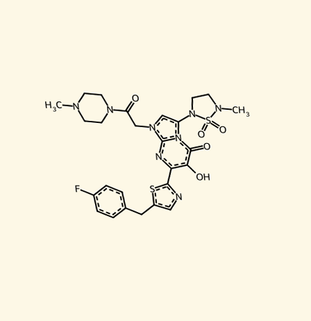 CN1CCN(C(=O)Cn2cc(N3CCN(C)S3(=O)=O)n3c(=O)c(O)c(-c4ncc(Cc5ccc(F)cc5)s4)nc23)CC1